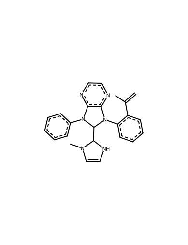 C=C(C)c1ccccc1N1c2nccnc2N(c2ccccc2)C1C1NC=CN1C